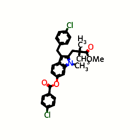 COC(=O)C(C)(C)Cc1c(Cc2ccc(Cl)cc2)c2ccc(OC(=O)c3ccc(Cl)cc3)cc2n1C